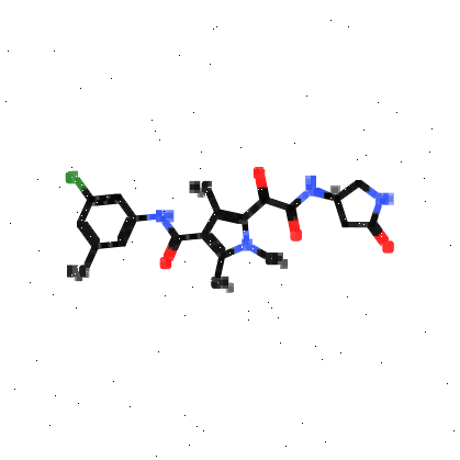 Cc1cc(Cl)cc(NC(=O)c2c(C)c(C(=O)C(=O)N[C@H]3CNC(=O)C3)n(C)c2C)c1